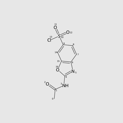 CC(=O)Nc1nc2ccc(S(=O)(=O)Cl)cc2o1